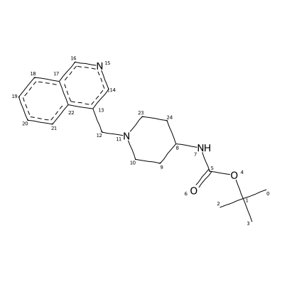 CC(C)(C)OC(=O)NC1CCN(Cc2[c]ncc3ccccc23)CC1